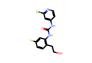 O=C(Nc1ccnc(Cl)c1)Nc1cc(F)ccc1CCO